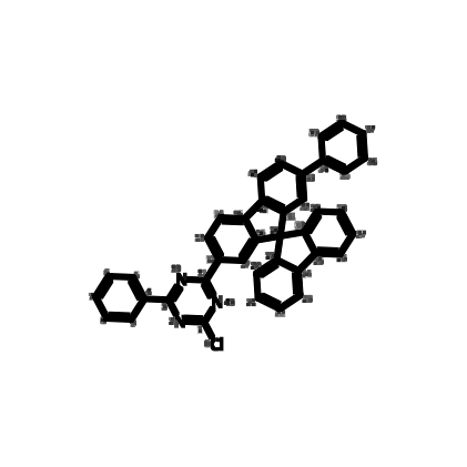 Clc1nc(-c2ccccc2)nc(-c2ccc3c(c2)C2(c4ccccc4-c4ccccc42)c2cc(-c4ccccc4)ccc2-3)n1